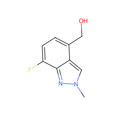 Cn1cc2c(CO)ccc(F)c2n1